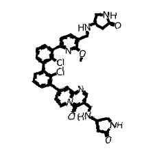 COc1nc(-c2cccc(-c3cccc(-c4ccn5c(=O)c(CNC6CNC(=O)C6)cnc5c4)c3Cl)c2Cl)ccc1CNC1CNC(=O)C1